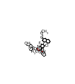 COCOc1cc(-c2c(Cl)cc3c(N4CC5CCC(C4)N5C(=O)OC(C)(C)C)nc(OCC45CCCN4C(CO)CC5)nc3c2F)c2ccccc2c1